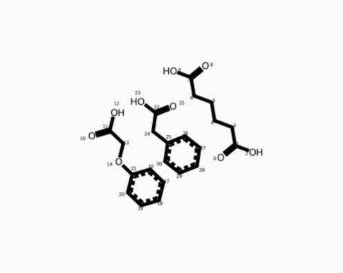 O=C(O)CCCCC(=O)O.O=C(O)COc1ccccc1.O=C(O)Cc1ccccc1